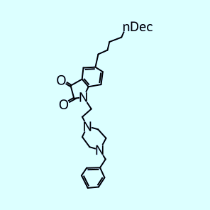 CCCCCCCCCCCCCCc1ccc2c(c1)C(=O)C(=O)N2CCN1CCN(Cc2ccccc2)CC1